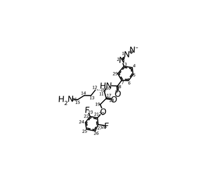 [N-]=[N+]=Nc1cccc(C(=O)N[C@@H](CCCCN)C(=O)COc2c(F)cccc2F)c1